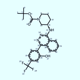 CC(C)(C)OC(=O)N1CCC[C@@H](Nc2nnc(-c3ccc(C(F)(F)F)cc3O)c3ccccc23)C1